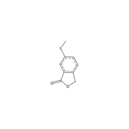 CSc1ccc2c(c1)C(=O)OC2